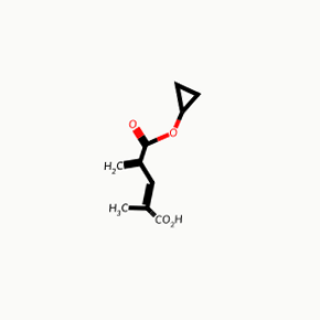 C=C(C=C(C)C(=O)O)C(=O)OC1CC1